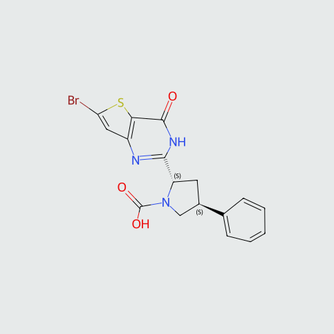 O=C(O)N1C[C@H](c2ccccc2)C[C@H]1c1nc2cc(Br)sc2c(=O)[nH]1